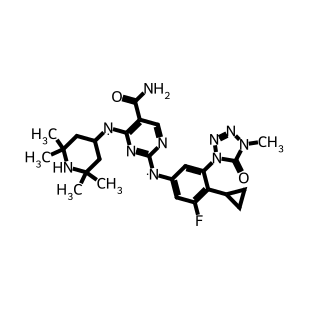 Cn1nnn(-c2cc([N]c3ncc(C(N)=O)c([N]C4CC(C)(C)NC(C)(C)C4)n3)cc(F)c2C2CC2)c1=O